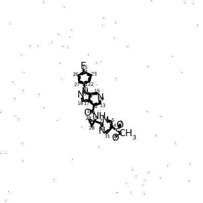 CS(=O)(=O)c1cnc(C2(NC(=O)c3cncc4c3cnn4-c3ccc(F)cc3)CC2)nc1